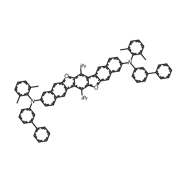 Cc1cccc(C)c1N(c1cccc(-c2ccccc2)c1)c1ccc2cc3c(cc2c1)oc1c(C(C)C)c2c(oc4cc5cc(N(c6cccc(-c7ccccc7)c6)c6c(C)cccc6C)ccc5cc42)c(C(C)C)c13